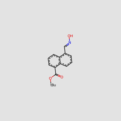 CC(C)(C)OC(=O)c1cccc2c(/C=N/O)cccc12